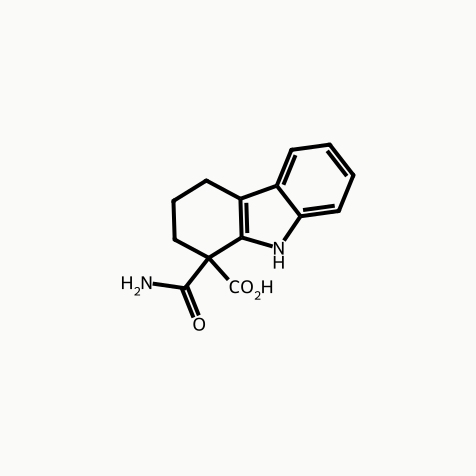 NC(=O)C1(C(=O)O)CCCc2c1[nH]c1ccccc21